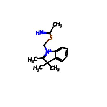 CC(=N)SC[N+]1=C(C)C(C)(C)c2ccccc21